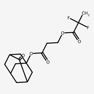 CC(F)(F)C(=O)OCCC(=O)OC12CC3CC(C1)C(=O)C(C3)C2